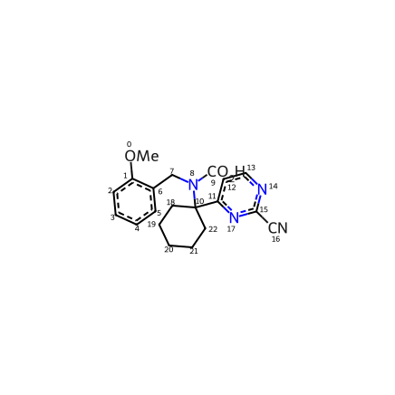 COc1ccccc1CN(C(=O)O)C1(c2ccnc(C#N)n2)CCCCC1